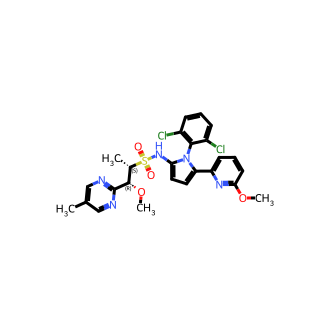 COc1cccc(-c2ccc(NS(=O)(=O)[C@@H](C)[C@H](OC)c3ncc(C)cn3)n2-c2c(Cl)cccc2Cl)n1